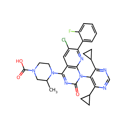 CC1CN(C(=O)O)CCN1c1nc(=O)n(-c2c(C3CC3)ncnc2C2CC2)c2nc(-c3ccccc3F)c(Cl)cc12